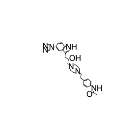 CC(=O)Nc1ccc(CCN2CCN(CC(O)Cc3c[nH]c4ccc(-n5cnnc5)cc34)CC2)cc1